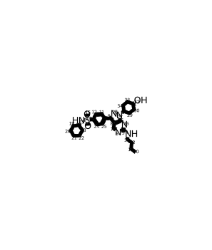 CCCCNc1ncc2c(-c3ccc(S(=O)(=O)NC4CCCCC4)cc3)nn(C3CCC(O)CC3)c2n1